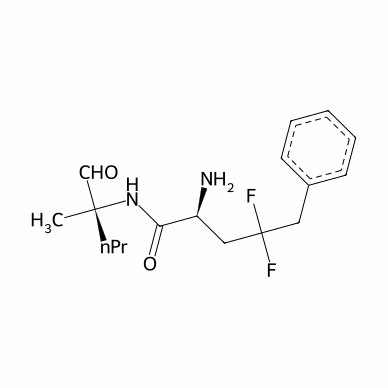 CCC[C@@](C)(C=O)NC(=O)[C@@H](N)CC(F)(F)Cc1ccccc1